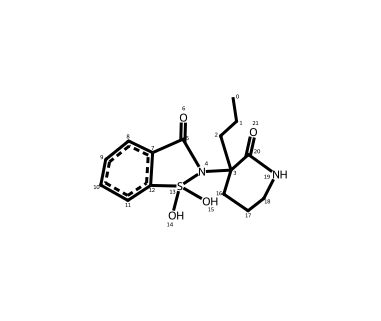 CCCC1(N2C(=O)c3ccccc3S2(O)O)CCCNC1=O